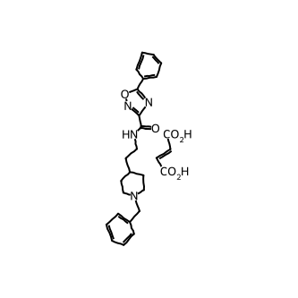 O=C(NCCC1CCN(Cc2ccccc2)CC1)c1noc(-c2ccccc2)n1.O=C(O)C=CC(=O)O